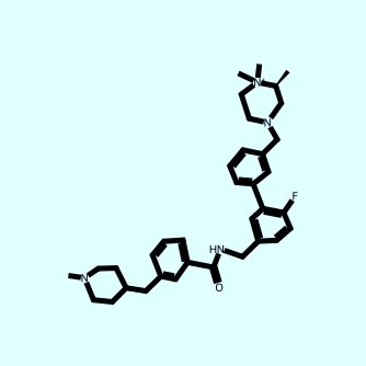 C[C@H]1CN(Cc2cccc(-c3cc(CNC(=O)c4cccc(CC5CCN(C)CC5)c4)ccc3F)c2)CC[N+]1(C)C